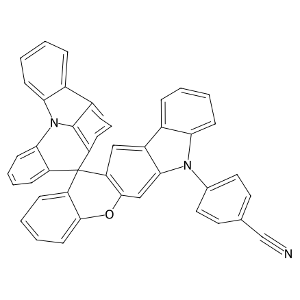 N#Cc1ccc(-n2c3ccccc3c3cc4c(cc32)Oc2ccccc2C42c3ccccc3-n3c4ccccc4c4cccc2c43)cc1